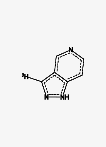 [2H]c1n[nH]c2ccncc12